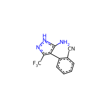 N#Cc1ccccc1-c1c(C(F)(F)F)n[nH]c1N